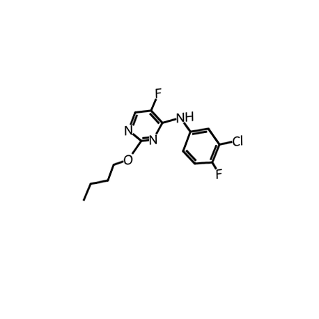 CCCCOc1ncc(F)c(Nc2ccc(F)c(Cl)c2)n1